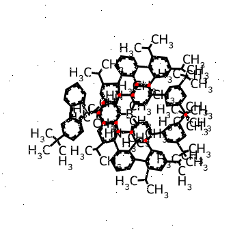 CC(C)c1cc(C(C)C)c(-c2cccc(-c3c(C(C)C)cc(C(C)C)cc3C(C)C)c2-c2cc(-c3cc(C(C)(C)C)cc(C(C)(C)C)c3)cc3c2Nc2cc(-n4c5ccccc5c5cc(C(C)(C)C)ccc54)cc4c2B3c2cc(-c3cc(C(C)(C)C)cc(C(C)(C)C)c3)cc(-c3c(-c5c(C(C)C)cc(C(C)C)cc5C(C)C)cccc3-c3c(C(C)C)cc(C(C)C)cc3C(C)C)c2N4)c(C(C)C)c1